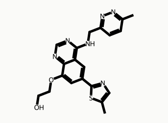 Cc1ccc(CNc2ncnc3c(OCCO)cc(-c4ncc(C)s4)cc23)nn1